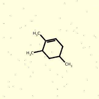 CC1=CCC(C)CC1C